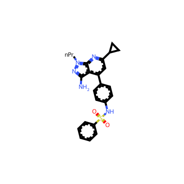 CCCn1nc(N)c2c(-c3ccc(NS(=O)(=O)c4ccccc4)cc3)cc(C3CC3)nc21